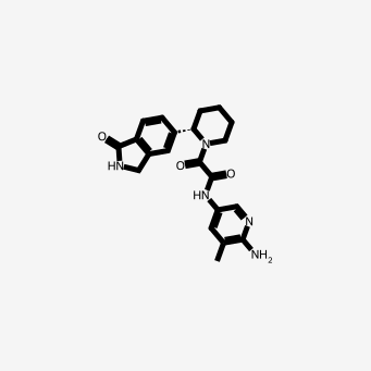 Cc1cc(NC(=O)C(=O)N2CCCC[C@H]2c2ccc3c(c2)CNC3=O)cnc1N